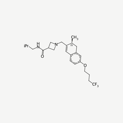 CC(C)CNC(=O)C1CN(CC2=Cc3ccc(OCCCC(F)(F)F)cc3C[C@@H]2C)C1